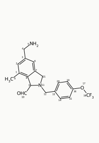 Cc1cc(CN)cc2c1C(C=O)N(Cc1ccc(OC(F)(F)F)cc1)C2